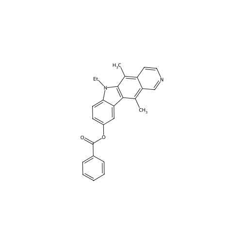 CCn1c2ccc(OC(=O)c3ccccc3)cc2c2c(C)c3cnccc3c(C)c21